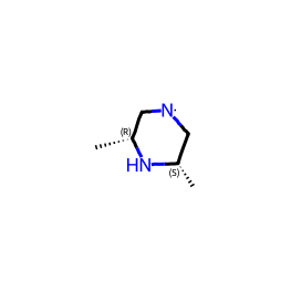 C[C@@H]1C[N]C[C@H](C)N1